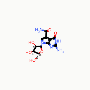 NC(=O)c1cn(C2O[C@H](CO)[C@@H](O)[C@H]2O)c2nc(N)[nH]c(=O)c12